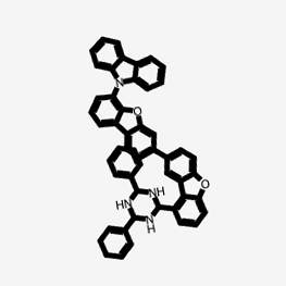 C1=CC(C2NC(c3ccccc3)NC(c3cccc4oc5ccc(-c6ccc7c(c6)oc6c(-n8c9ccccc9c9ccccc98)cccc67)cc5c34)N2)=CCC1